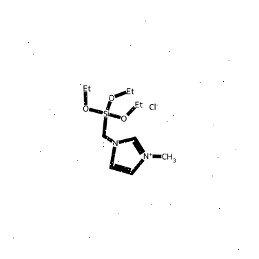 CCO[Si](Cn1cc[n+](C)c1)(OCC)OCC.[Cl-]